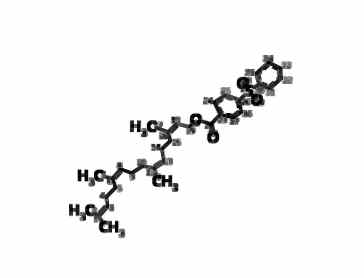 CC(C)=CCCC(C)=CCCC(C)=CCCC(C)=CCOC(=O)c1ccc(S(=O)(=O)c2ccccc2)cc1